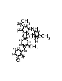 Cc1cc(Nc2cc(C(C)F)c(F)c(C[C@@]3(C(=O)O)CCN(Cc4cccc(Cl)c4F)[C@H](C)C3)n2)n[nH]1